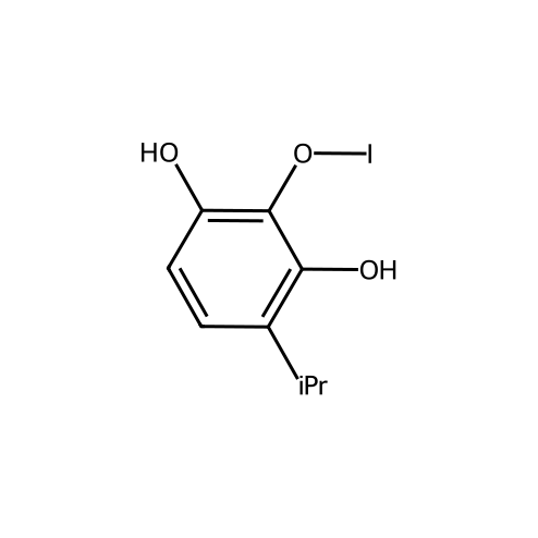 CC(C)c1ccc(O)c(OI)c1O